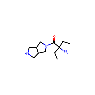 CCC(N)(CC)C(=O)N1CC2CNCC2C1